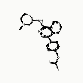 CN1CCCC(Nc2nnc(-c3ccc(OC(F)F)cc3)c3ccncc23)C1